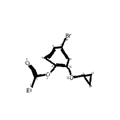 CCC(=O)Oc1ccc(Br)cc1OC1CC1